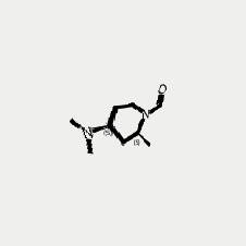 C[C@H]1C[C@@H](N(C)C)CCN1C=O